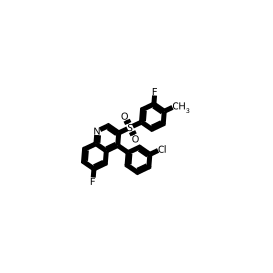 Cc1ccc(S(=O)(=O)c2cnc3ccc(F)cc3c2-c2cccc(Cl)c2)cc1F